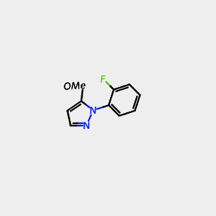 COc1ccnn1-c1ccccc1F